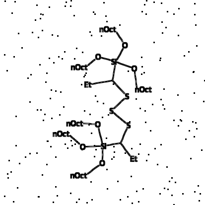 CCCCCCCCO[Si](OCCCCCCCC)(OCCCCCCCC)C(CC)SSSC(CC)[Si](OCCCCCCCC)(OCCCCCCCC)OCCCCCCCC